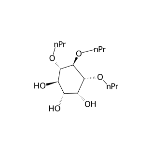 CCCO[C@H]1[C@H](OCCC)[C@H](O)[C@H](O)[C@@H](O)[C@@H]1OCCC